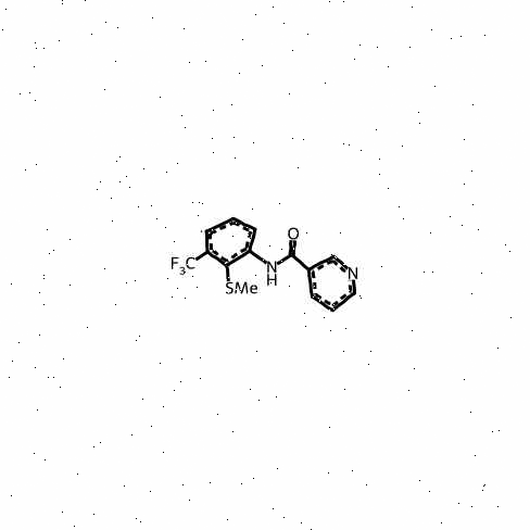 CSc1c(C(F)(F)F)[c]ccc1NC(=O)c1cccnc1